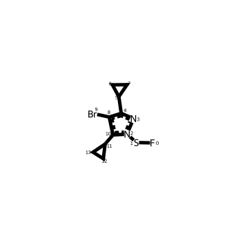 FSn1nc(C2CC2)c(Br)c1C1CC1